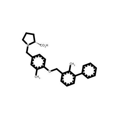 Cc1cc(CN2CCC[C@@H]2C(=O)O)ccc1OCc1cccc(-c2ccccc2)c1C